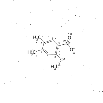 COc1cc(C)c(C)cc1[N+](=O)[O-]